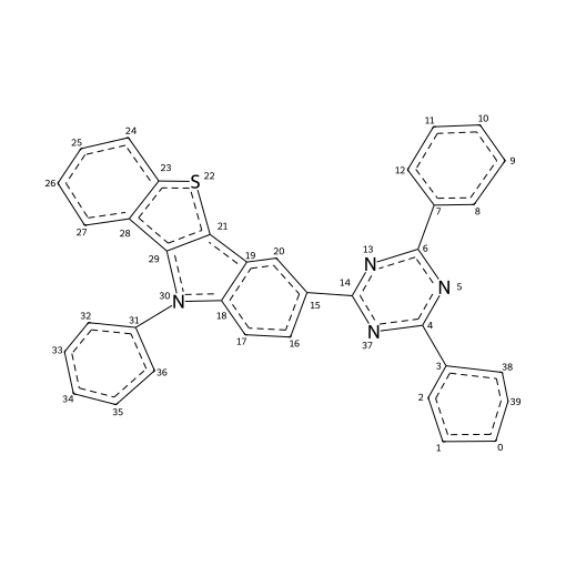 c1ccc(-c2nc(-c3ccccc3)nc(-c3ccc4c(c3)c3sc5ccccc5c3n4-c3ccccc3)n2)cc1